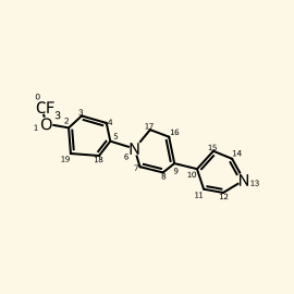 FC(F)(F)Oc1ccc(N2C=CC(c3ccncc3)=CC2)cc1